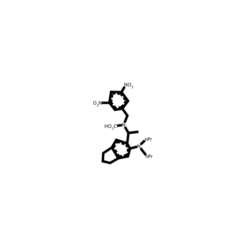 CCCN(CCC)c1cc2c(cc1C(C)N(Cc1cc([N+](=O)[O-])cc([N+](=O)[O-])c1)C(=O)O)CCC2